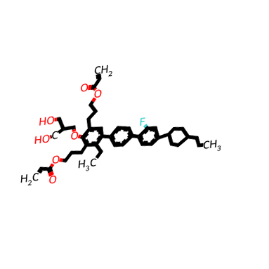 C=CC(=O)OCCCc1cc(-c2ccc(-c3ccc(C4CCC(CCC)CC4)cc3F)cc2)c(CC)c(CCCOC(=O)C=C)c1OCC(CO)CO